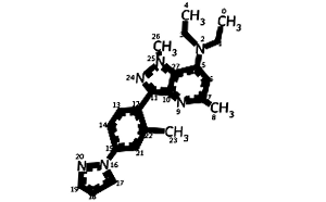 CCN(CC)c1cc(C)nc2c(-c3ccc(-n4cccn4)cc3C)nn(C)c12